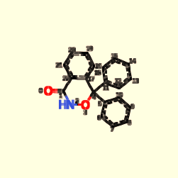 O=C1NOC(c2ccccc2)(c2ccccc2)c2ccccc21